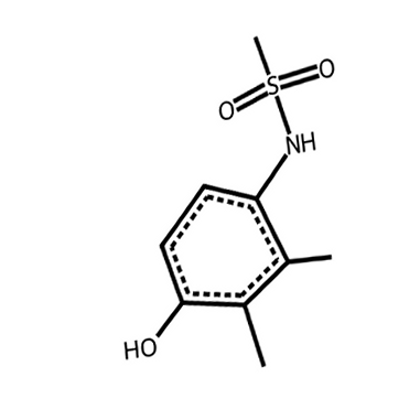 Cc1c(O)ccc(NS(C)(=O)=O)c1C